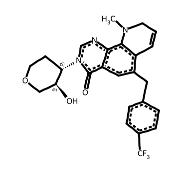 CN1CC=Cc2c(Cc3ccc(C(F)(F)F)cc3)cc3c(=O)n([C@H]4CCOC[C@@H]4O)cnc3c21